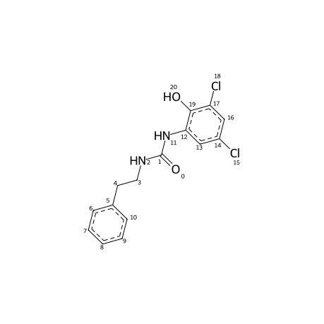 O=C(NCCc1ccccc1)Nc1cc(Cl)cc(Cl)c1O